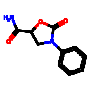 NC(=O)C1CN(c2ccccc2)C(=O)O1